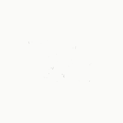 CC[S+]([O-])CCCN1C(=O)CN=C(c2ccccc2Cl)c2cc(Cl)ccc21